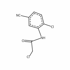 N#Cc1ccc(Cl)c(NC(=O)CCl)c1